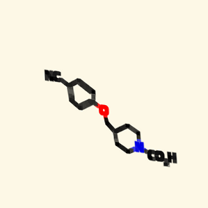 N#Cc1ccc(OCC2CCN(C(=O)O)CC2)cc1